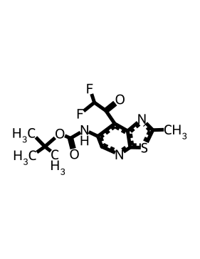 Cc1nc2c(C(=O)C(F)F)c(NC(=O)OC(C)(C)C)cnc2s1